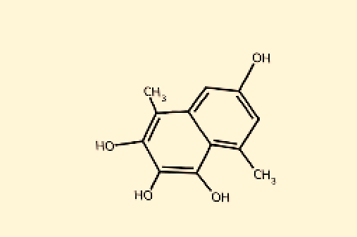 Cc1c(O)c(O)c(O)c2c(C)cc(O)cc12